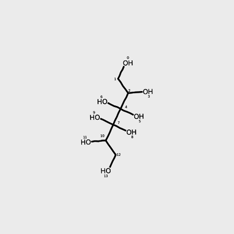 OCC(O)C(O)(O)C(O)(O)C(O)CO